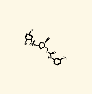 Cc1cccc(NC(=O)OC[C@H]2C[C@@H](NS(=O)(=O)c3cc(Br)ccc3Br)CN2C#N)c1